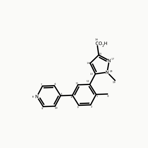 Cc1ccc(-c2ccncc2)cc1-c1cc(C(=O)O)nn1C